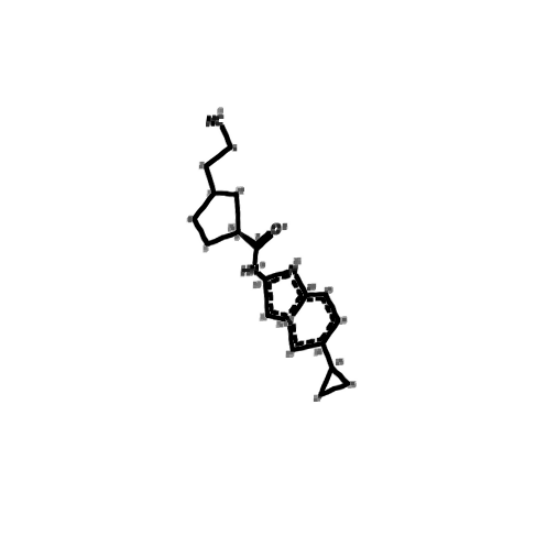 N#CCCC1CC[C@H](C(=O)Nc2cn3cc(C4CC4)ccc3n2)C1